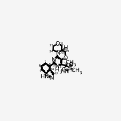 CC(C)(c1nc(-c2cccc3[nH]ncc23)nc2c1OC[C@H]1COCCN21)S(C)(=N)=O